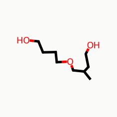 CC(CCO)COCCCCO